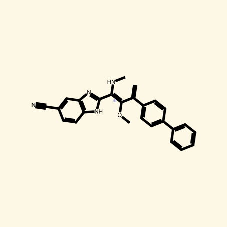 C=C(/C(OC)=C(\NC)c1nc2cc(C#N)ccc2[nH]1)c1ccc(-c2ccccc2)cc1